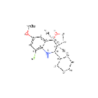 CCCCOc1cc(F)c2c(c1)[C@H]1OCC[C@H]1C(C1CCCCC1)N2